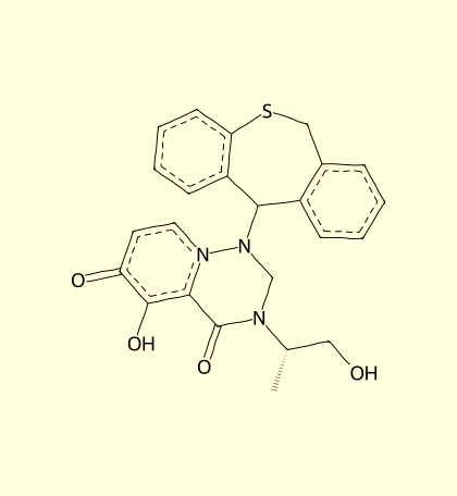 C[C@@H](CO)N1CN(C2c3ccccc3CSc3ccccc32)n2ccc(=O)c(O)c2C1=O